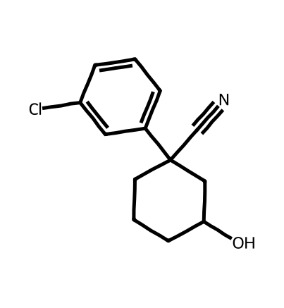 N#CC1(c2cccc(Cl)c2)CCCC(O)C1